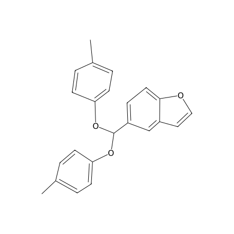 Cc1ccc(OC(Oc2ccc(C)cc2)c2ccc3occc3c2)cc1